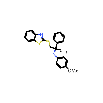 COc1ccc(NC(C)(CSc2nc3ccccc3s2)c2ccccc2)cc1